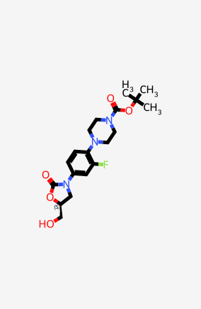 CC(C)(C)OC(=O)N1CCN(c2ccc(N3C[C@@H](CO)OC3=O)cc2F)CC1